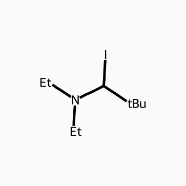 CCN(CC)C(I)C(C)(C)C